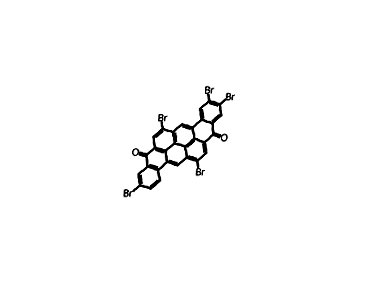 O=c1c2cc(Br)ccc2c2cc3c(Br)cc4c(=O)c5cc(Br)c(Br)cc5c5cc6c(Br)cc1c2c6c3c45